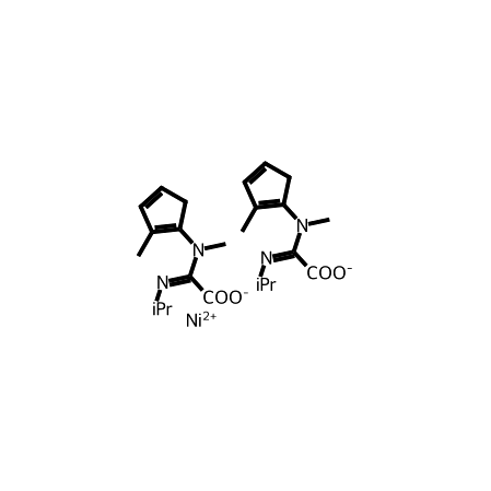 CC1=C(N(C)C(=NC(C)C)C(=O)[O-])CC=C1.CC1=C(N(C)C(=NC(C)C)C(=O)[O-])CC=C1.[Ni+2]